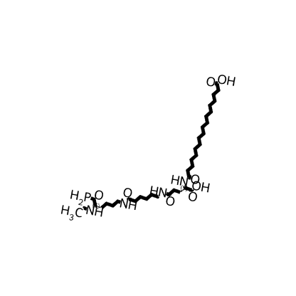 CCN[C@@H](CCCCNC(=O)CCCCCNC(=O)CC[C@H](NC(=O)CCCCCCCCCCCCCCCCC(=O)O)C(=O)O)C(=O)P